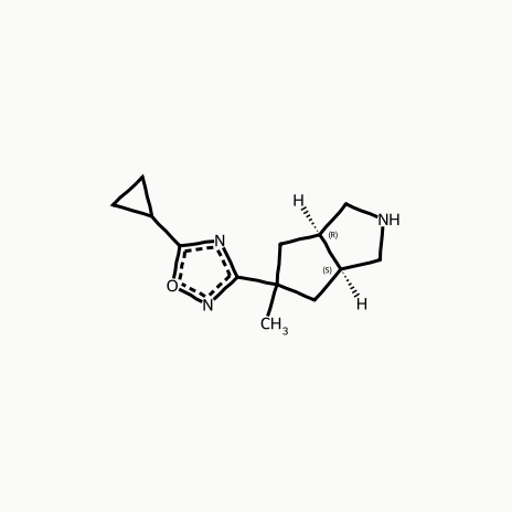 CC1(c2noc(C3CC3)n2)C[C@H]2CNC[C@H]2C1